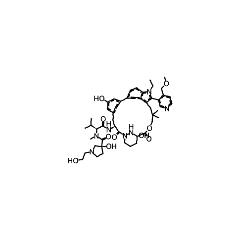 CCn1c(-c2cnccc2COC)c2c3cc(ccc31)-c1cc(O)cc(c1)C[C@H](NC(=O)[C@H](C(C)C)N(C)C(=O)[C@]1(O)CCN(CCO)C1)C(=O)N1CCC[C@@](O)(N1)C(=O)OCC(C)(C)C2